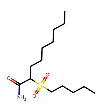 CCCCCCCC(C(N)=O)S(=O)(=O)CCCCC